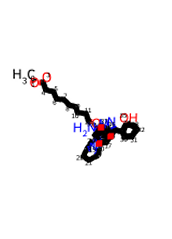 COC(=O)CCCCCCCCCOc1cccc(N2C3CCC2CN(c2cc(-c4ccccc4O)nnc2N)C3)c1